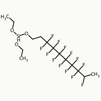 CCO[SiH](OCC)OCCC(F)(F)C(F)(F)C(F)(F)C(F)(F)C(F)(F)C(F)(F)C(C)F